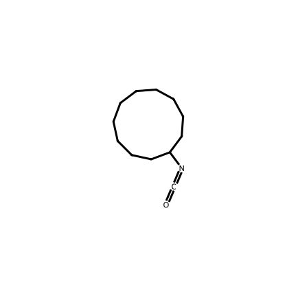 O=C=NC1CCCCCCCCCC1